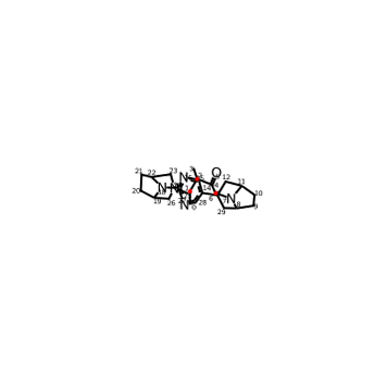 CCC(C)C(=O)CN1C2CCC1CC(c1cnc(N3C4CCC3CN(C)C4)nc1)C2